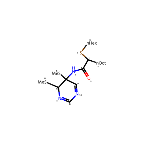 CCCCCCCCC(SCCCCCC)C(=O)NC1(SC)C=NC=NC1SC